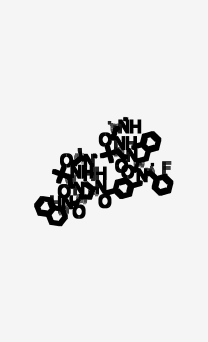 CN[C@@H](C)C(=O)N[C@H](C(=O)N1Cc2ccccc2C[C@H]1C(=O)N(Cc1ccc(C(=O)N[C@H]2C[C@@H](C(=O)N[C@@H]3CCCc4ccccc43)N(C(=O)[C@@H](NC(=O)[C@@H](C)NC)C(C)(C)C)C2)cc1)[C@H](C)c1ccccc1F)C(C)(C)C